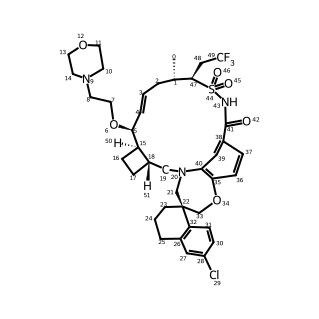 C[C@H]1C/C=C/[C@H](OCCN2CCOCC2)[C@@H]2CC[C@H]2CN2C[C@@]3(CCCc4cc(Cl)ccc43)COc3ccc(cc32)C(=O)NS(=O)(=O)[C@@H]1CC(F)(F)F